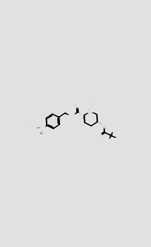 O=C(OCc1ccc([N+](=O)[O-])cc1)[C@@H]1CC[C@H](OC(=O)C(F)(F)F)CN1